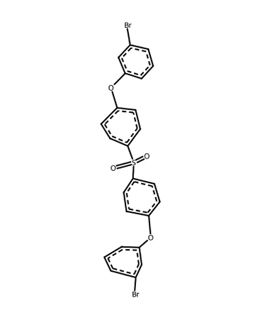 O=S(=O)(c1ccc(Oc2cccc(Br)c2)cc1)c1ccc(Oc2cccc(Br)c2)cc1